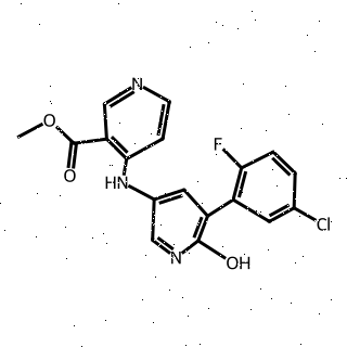 COC(=O)c1cnccc1Nc1cnc(O)c(-c2cc(Cl)ccc2F)c1